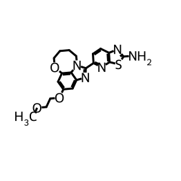 COCCOc1cc2c3c(c1)nc(-c1ccc4nc(N)sc4n1)n3CCCCO2